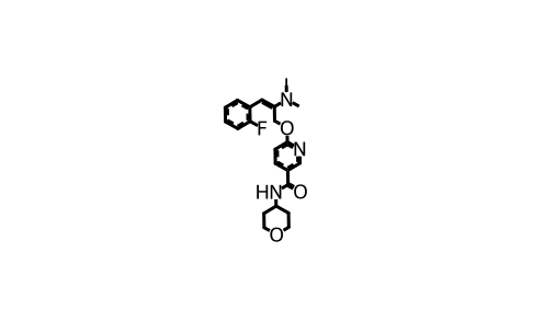 CN(I)/C(=C/c1ccccc1F)COc1ccc(C(=O)NC2CCOCC2)cn1